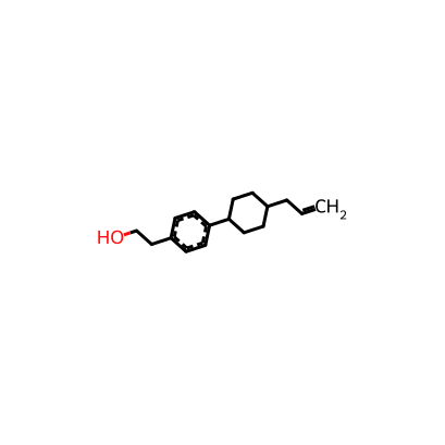 C=CCC1CCC(c2ccc(CCO)cc2)CC1